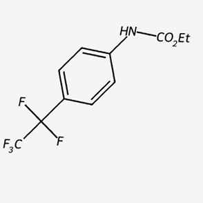 [CH2]COC(=O)Nc1ccc(C(F)(F)C(F)(F)F)cc1